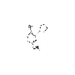 Cc1ccc(Br)c(C2CCCC2)c1